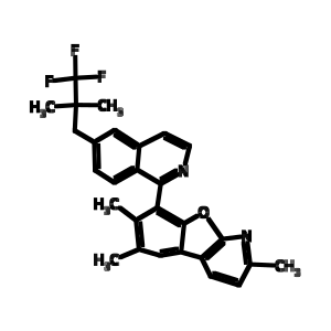 Cc1ccc2c(n1)oc1c(-c3nccc4cc(CC(C)(C)C(F)(F)F)ccc34)c(C)c(C)cc12